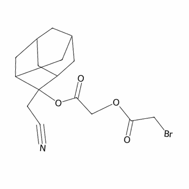 N#CCC1(OC(=O)COC(=O)CBr)C2CC3CC(C2)CC1C3